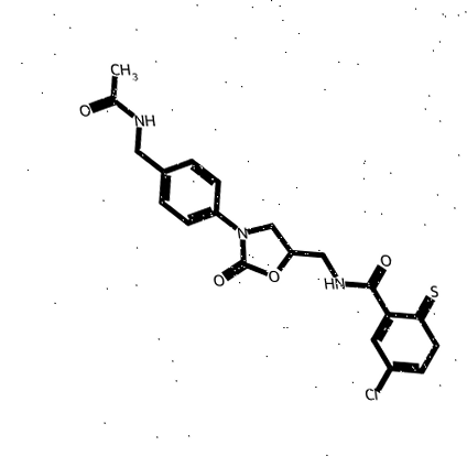 CC(=O)NCc1ccc(N2CC(CNC(=O)C3=CC(Cl)=CCC3=S)OC2=O)cc1